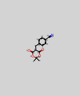 CC1(C)OC(=O)C(Cc2ccc(C#N)cc2)C(=O)O1